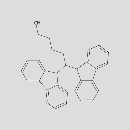 CCCCCC(C1c2ccccc2-c2ccccc21)C1c2ccccc2-c2ccccc21